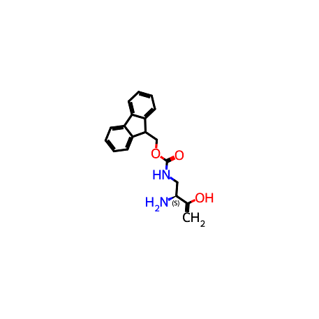 C=C(O)[C@@H](N)CNC(=O)OCC1c2ccccc2-c2ccccc21